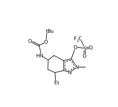 CCC1CC(NC(=O)OC(C)(C)C)Cc2c1nn(C)c2OS(=O)(=O)C(F)(F)F